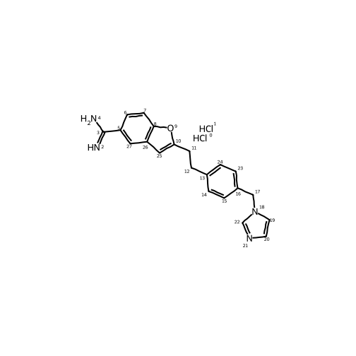 Cl.Cl.N=C(N)c1ccc2oc(CCc3ccc(Cn4ccnc4)cc3)cc2c1